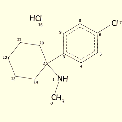 CNC1(c2ccc(Cl)cc2)CCCCC1.Cl